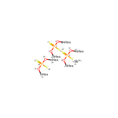 CCCCCCOP(=S)([S-])OCCCCCC.CCCCCCOP(=S)([S-])OCCCCCC.CCCCCCOP(=S)([S-])OCCCCCC.[Sb+3]